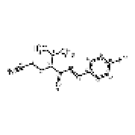 CC(C)C(CCC#N)C(=O)/C=C/c1ccc(F)cc1